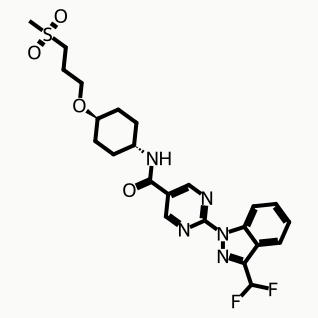 CS(=O)(=O)CCCO[C@H]1CC[C@H](NC(=O)c2cnc(-n3nc(C(F)F)c4ccccc43)nc2)CC1